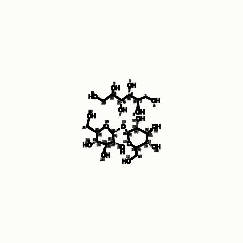 OC[C@@H](O)[C@@H](O)[C@H](O)[C@H](O)CO.OC[C@H]1O[C@H](O[C@H]2O[C@H](CO)[C@@H](O)[C@H](O)[C@H]2O)[C@H](O)[C@@H](O)[C@@H]1O